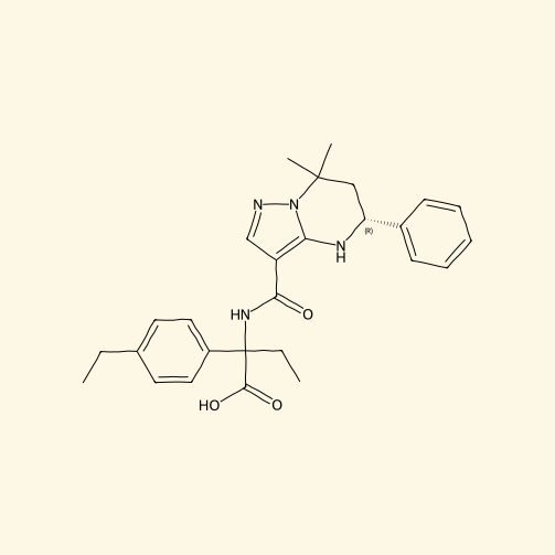 CCc1ccc(C(CC)(NC(=O)c2cnn3c2N[C@@H](c2ccccc2)CC3(C)C)C(=O)O)cc1